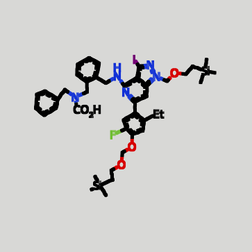 CCc1cc(OCOCC[Si](C)(C)C)c(F)cc1-c1cc2c(c(I)nn2COCC[Si](C)(C)C)c(NCc2ccccc2CN(Cc2ccccc2)C(=O)O)n1